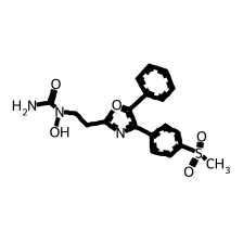 CS(=O)(=O)c1ccc(-c2nc(CCN(O)C(N)=O)oc2-c2ccccc2)cc1